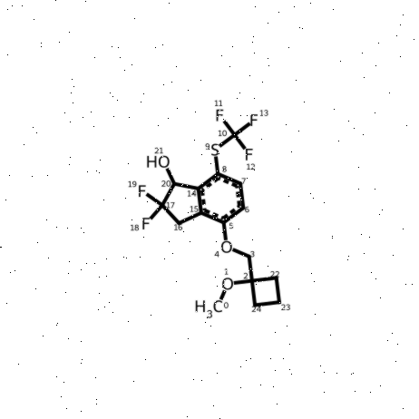 COC1(COc2ccc(SC(F)(F)F)c3c2CC(F)(F)C3O)CCC1